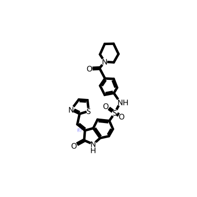 O=C1Nc2ccc(S(=O)(=O)Nc3ccc(C(=O)N4CCCCC4)cc3)cc2/C1=C\c1nccs1